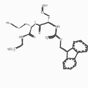 CC(C)(C)OC[C@H](NC(=O)OCC1c2ccccc2-c2ccccc21)C(=O)N[C@@H](COC(C)(C)C)C(=O)NCC(=O)O